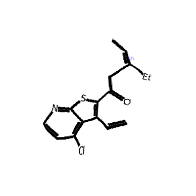 C=Cc1c(C(=O)C/C(=C\C)CC)sc2nccc(Cl)c12